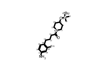 CC(C)(C)[Si](C)(C)OC1CCN(C(=O)CCCc2ccc(N)cc2F)CC1